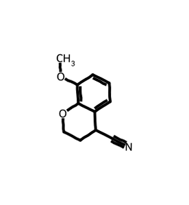 COc1cccc2c1OCCC2C#N